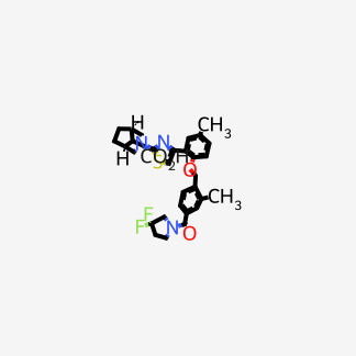 Cc1ccc(OCc2ccc(C(=O)N3CCC(F)(F)C3)cc2C)c(-c2csc(N3C[C@H]4CC[C@@H](C3)C4CC(=O)O)n2)c1